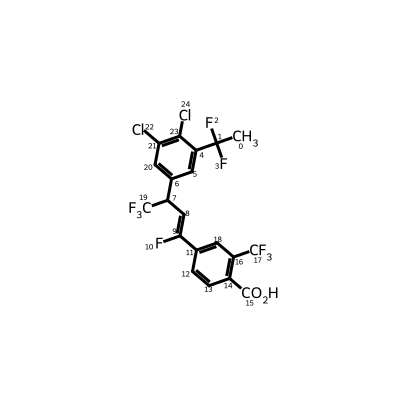 CC(F)(F)c1cc(C(C=C(F)c2ccc(C(=O)O)c(C(F)(F)F)c2)C(F)(F)F)cc(Cl)c1Cl